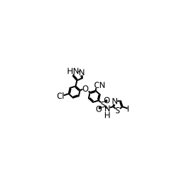 N#Cc1cc(S(=O)(=O)Nc2ncc(I)s2)ccc1Oc1ccc(Cl)cc1-c1cn[nH]c1